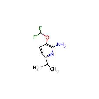 CC(C)c1ccc(OC(F)F)c(N)n1